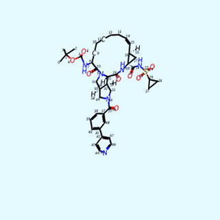 CC(C)(C)OC(=O)N[C@H]1CCCCC/C=C\[C@H]2C[C@@]2(C(=O)NS(=O)(=O)C2CC2)NC(=O)[C@@H]2[C@H]3CN(C(=O)c4cccc(-c5ccncc5)c4)C[C@H]3CN2C1=O